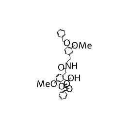 COc1cc(CCNC(=O)Cc2ccc(OC)c(OS(=O)(=O)c3ccccc3)c2CO)ccc1OCc1ccccc1